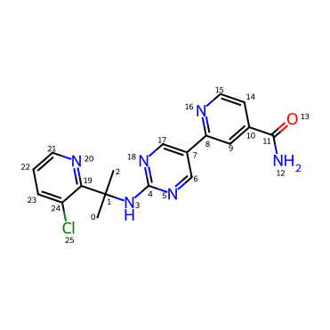 CC(C)(Nc1ncc(-c2cc(C(N)=O)ccn2)cn1)c1ncccc1Cl